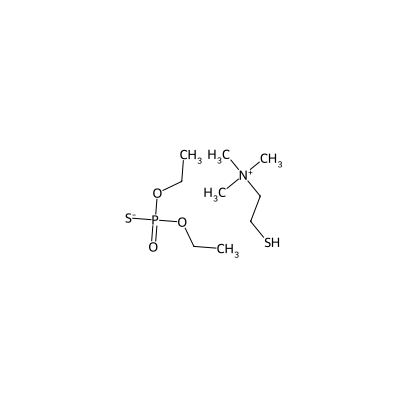 CCOP(=O)([S-])OCC.C[N+](C)(C)CCS